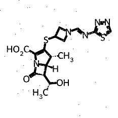 C[C@@H](O)[C@H]1C(=O)N2C(C(=O)O)=C(SC3CN(C=Nc4nncs4)C3)[C@H](C)[C@H]12